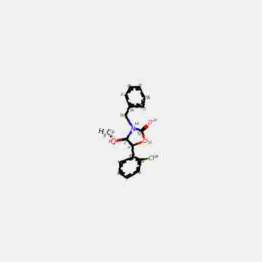 COC1C(c2ccccc2Cl)OC(=O)N1Cc1ccccc1